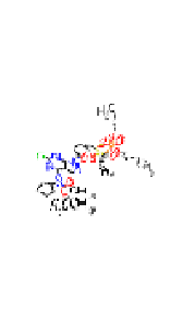 CCCCOP(=O)(OCCCC)[C@H](C)S(=O)(=O)C[C@@H]1CC[C@H](n2ncc3c(N(C(=O)OC(C)(C)C)C4CCCC4)nc(Cl)nc32)O1